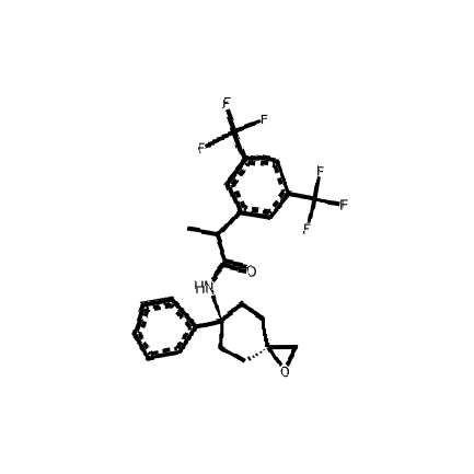 CC(C(=O)N[C@]1(c2ccccc2)CC[C@]2(CC1)CO2)c1cc(C(F)(F)F)cc(C(F)(F)F)c1